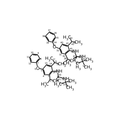 CC(C)c1cc(Oc2ccccc2)cc(C(C)C)c1NC(=S)NC(C)(C)C.CC(C)c1cc(Oc2ccccc2)cc(C(C)C)c1NC(=S)NC(C)(C)C